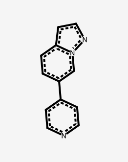 c1cc(-c2ccc3ccnn3c2)ccn1